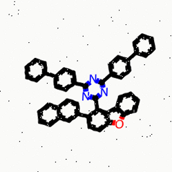 c1ccc(-c2ccc(-c3nc(-c4ccc(-c5ccccc5)cc4)nc(-c4c(-c5ccc6ccccc6c5)ccc5oc6ccccc6c45)n3)cc2)cc1